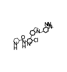 Cn1nnc2cc(CN3CCc4ccc(-c5cc(NC(=O)C6CCCNC6)ncc5Cl)cc43)ccc21